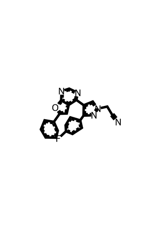 N#CCn1cc(-c2ncnc3oc(-c4ccccc4)cc23)c(-c2ccc(F)cc2)n1